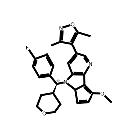 COC1=C2c3ncc(-c4c(C)noc4C)cc3N([C@H](c3ccc(F)cc3)C3CCOCC3)C2C=C1